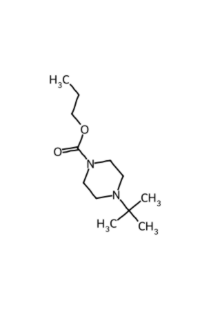 CCCOC(=O)N1CCN(C(C)(C)C)CC1